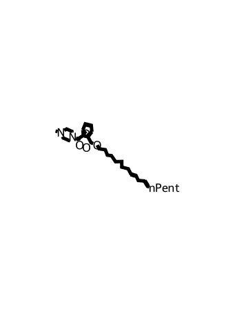 CCCCC/C=C/C/C=C/CCCCCCCCOC(=O)c1c(C(=O)N2CCN(C)CC2)c2ccc1o2